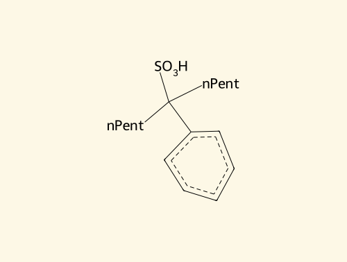 CCCCCC(CCCCC)(c1ccccc1)S(=O)(=O)O